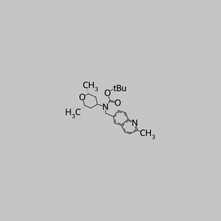 Cc1ccc2cc(CN(C(=O)OC(C)(C)C)C3C[C@@H](C)O[C@@H](C)C3)ccc2n1